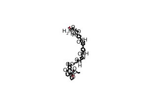 C=CCOC(=O)N1c2cc(OCCCC(=O)Nc3cc(C(=O)Nc4ccc(-c5cc(C(=O)Nc6ccc(NC(=O)[C@H](C)NC(=O)[C@@H](N)C(C)C)cc6)n(C)c5)cc4)n(C)c3)c(OC)cc2C(=O)N2CCCC[C@H]2C1OC1CCCCO1